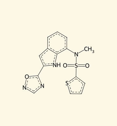 CN(c1cccc2cc(-c3ncno3)[nH]c12)S(=O)(=O)c1cccs1